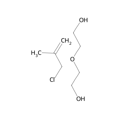 C=C(C)CCl.OCCOCCO